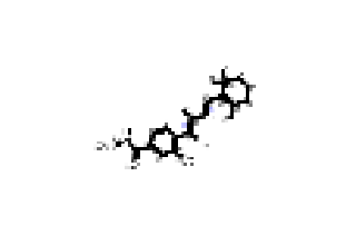 CCCCCCCCNC(=O)c1ccc(/C(F)=C(C)/C=C/C2=C(C)CCCC2(C)C)c(CC)c1